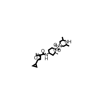 CC1CN(S(=O)(=O)N2CC[C@H](NC(=O)c3cc(C4CC4)on3)C[C@@H]2C)CC(C)N1